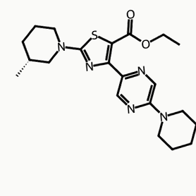 CCOC(=O)c1sc(N2CCC[C@@H](C)C2)nc1-c1cnc(N2CCCCC2)cn1